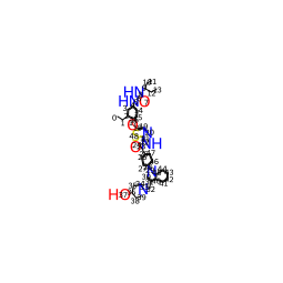 CCc1cc(NC(=O)NC(CC)CC)ccc1Oc1cnc(NC(=O)c2ccc(-n3cc(CN4CCC(O)CC4)c4ccccc43)cc2)s1